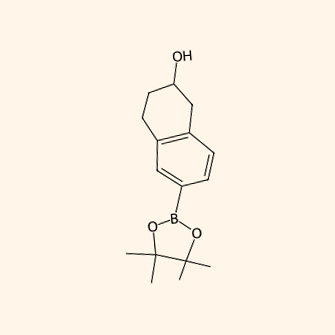 CC1(C)OB(c2ccc3c(c2)CCC(O)C3)OC1(C)C